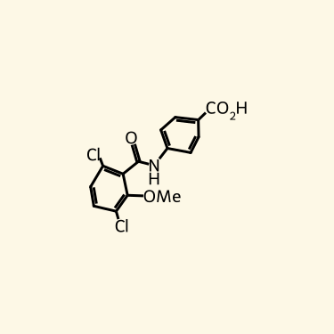 COc1c(Cl)ccc(Cl)c1C(=O)Nc1ccc(C(=O)O)cc1